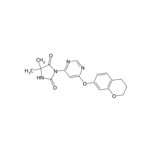 CC1(C)NC(=O)N(c2cc(Oc3ccc4c(c3)OCCC4)ncn2)C1=O